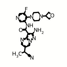 CC(C#N)c1cnc2c(C(=O)Nc3cncc(F)c3N3CCN(C4COC4)CC3)c(N)nn2c1